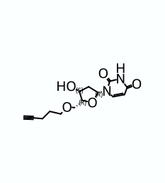 C#CCCCOC[C@H]1O[C@@H](n2ccc(=O)[nH]c2=O)C[C@@H]1O